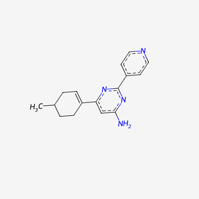 CC1CC=C(c2cc(N)nc(-c3ccncc3)n2)CC1